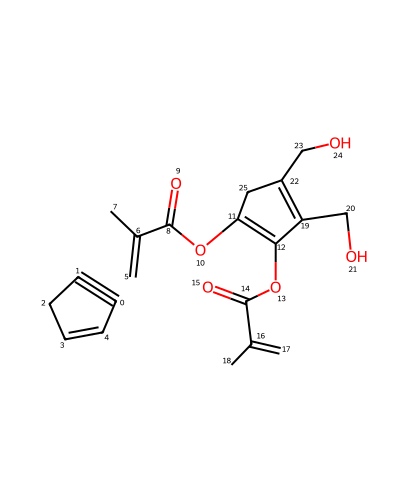 C1#CCC=C1.C=C(C)C(=O)OC1=C(OC(=O)C(=C)C)C(CO)=C(CO)C1